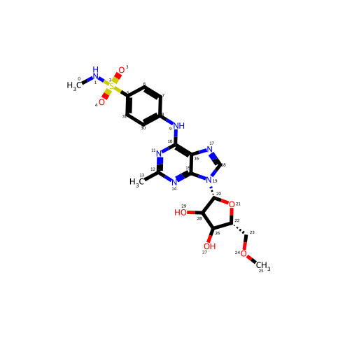 CNS(=O)(=O)c1ccc(Nc2nc(C)nc3c2ncn3[C@@H]2O[C@H](COC)C(O)C2O)cc1